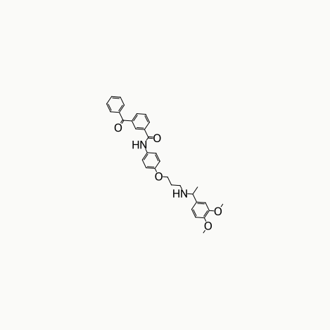 COc1ccc(C(C)NCCCOc2ccc(NC(=O)c3cccc(C(=O)c4ccccc4)c3)cc2)cc1OC